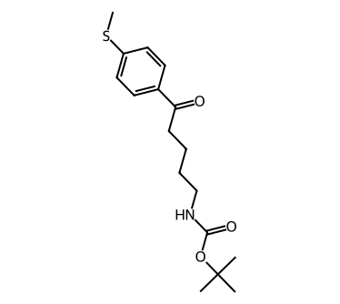 CSc1ccc(C(=O)CCCCNC(=O)OC(C)(C)C)cc1